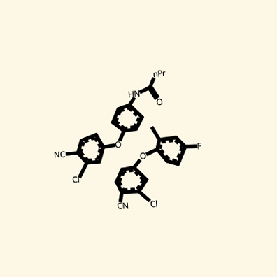 CCCC(=O)Nc1ccc(Oc2ccc(C#N)c(Cl)c2)cc1.Cc1cc(F)ccc1Oc1ccc(C#N)c(Cl)c1